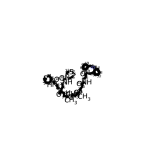 CC(C)(CCOC(C)(C)CCC(=O)N(CCNC(=O)N1CCSSCC1)CCNC(=O)N1CCSSCC1)OCCC(=O)NCCC(=O)N1Cc2ccccc2/C=C\c2ccccc21